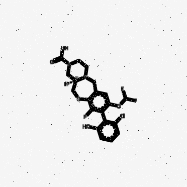 O=C(O)N1CCN2Cc3cc(OC(F)F)c(-c4c(O)cccc4Cl)c(F)c3OC[C@H]2C1